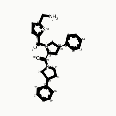 NCc1ccc(C(=O)N2C[C@@H](c3ccccc3)C[C@H]2C(=O)N2CCC(c3ccccc3)C2)s1